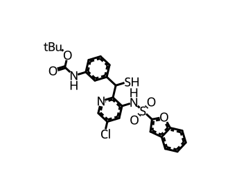 CC(C)(C)OC(=O)Nc1cccc(C(S)c2ncc(Cl)cc2NS(=O)(=O)c2cc3ccccc3o2)c1